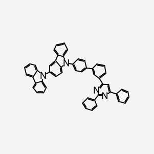 c1ccc(-c2cc(-c3cccc(-c4ccc(-n5c6ccccc6c6cc(-n7c8ccccc8c8ccccc87)ccc65)cc4)c3)nc(-c3ccccc3)n2)cc1